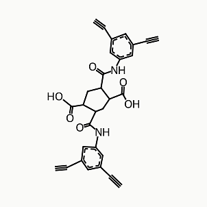 C#Cc1cc(C#C)cc(NC(=O)C2CC(C(=O)O)C(C(=O)Nc3cc(C#C)cc(C#C)c3)CC2C(=O)O)c1